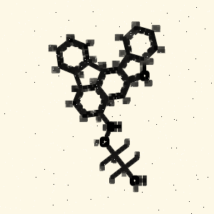 CC(C)(O)C(C)(C)OBc1ccc2c3c(c4c(cc13)oc1ccccc14)-c1ccccc1-2